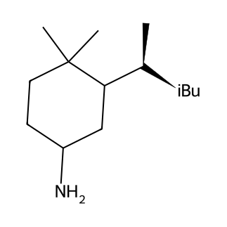 CC[C@H](C)[C@H](C)C1CC(N)CCC1(C)C